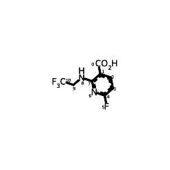 O=C(O)c1ccc(F)nc1NCC(F)(F)F